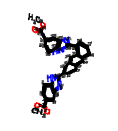 COC(=O)c1ccc2[nH]c(-c3ccc4cc5cccc(-c6nc7cc(C(=O)OC)ccc7[nH]6)c5cc4c3)nc2c1